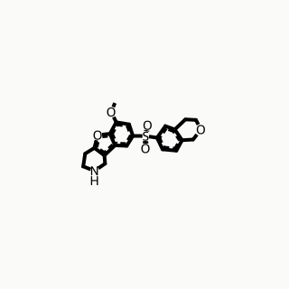 COc1cc(S(=O)(=O)c2ccc3c(c2)CCOC3)cc2c3c(oc12)CCNC3